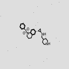 O=S(=O)(c1ccccc1)N1CCCc2cc([C@@H]3C[C@H]3NCC3CCNCC3)ccc21